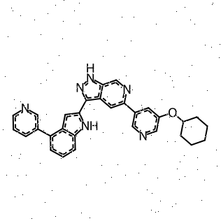 c1cncc(-c2cccc3[nH]c(-c4n[nH]c5cnc(-c6cncc(OC7CCCCC7)c6)cc45)cc23)c1